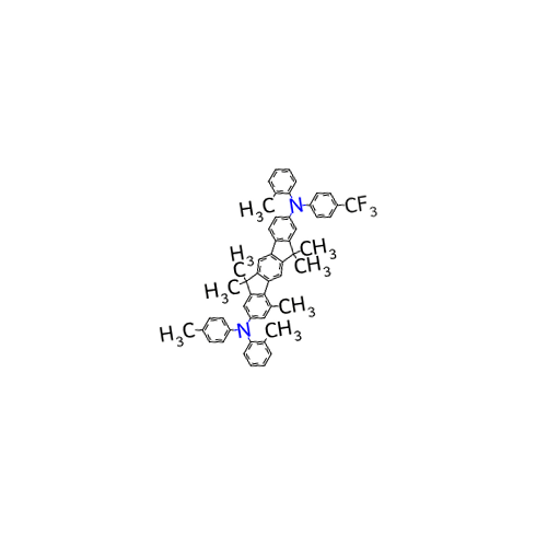 Cc1ccc(N(c2cc(C)c3c(c2)C(C)(C)c2cc4c(cc2-3)C(C)(C)c2cc(N(c3ccc(C(F)(F)F)cc3)c3ccccc3C)ccc2-4)c2ccccc2C)cc1